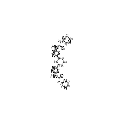 O=C(Cc1cnccn1)Nc1nnc([C@H]2CCC[C@H](c3nnc(NC(=O)Cc4cnccn4)s3)C2)s1